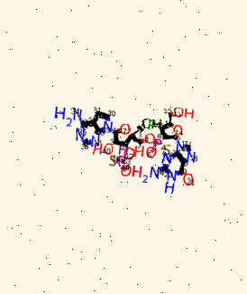 C#C[C@]1(COP(O)(=S)[C@@H]2[C@H](F)[C@@H](CO)O[C@H]2n2cnc3c(=O)[nH]c(N)nc32)O[C@@H](n2ccc3c(N)ncnc32)[C@H](O)[C@@H]1O[PH](O)=S